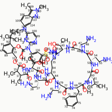 Cc1ccc(N(C(=O)Oc2c(COC(=O)C(C)C(C)C(=O)N[C@H](C(=O)N[C@@H](CCN)C(=O)N[C@H]3CCNC(=O)[C@H]([C@@H](C)O)NC(=O)[C@H](CCN)NC(=O)[C@H](CCN)NC(=O)[C@H](CC(C)C)NC(=O)[C@@H](Cc4ccccc4)NC(=O)[C@H](CCN)NC3=O)[C@@H](C)O)cccc2C(C)(C)C)c2nccc(N(C)c3ccc4c(C)n(C)nc4c3)n2)cc1S(N)(=O)=O